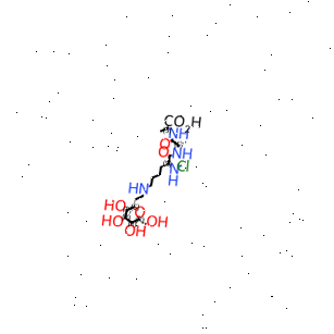 C[C@H](NC(=O)[C@H](C)NC(=O)[C@H](CCCCNCC[C@@H]1O[C@H](CO)[C@H](O)[C@H](O)[C@H]1O)NCl)C(=O)O